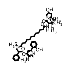 C[C@@H]1C[C@@H](O)CN1C(=O)[C@@H](NC(=O)CCCCCCCCCCC(=O)N(C)CC(COc1cc(-c2ccccc2O)nnc1N)c1ccccc1)C(C)(C)C